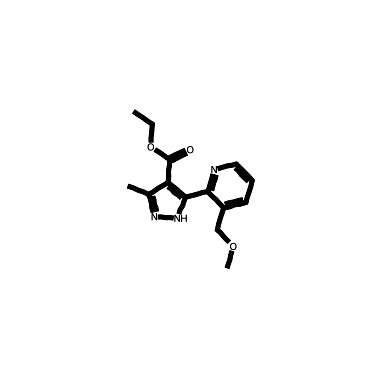 CCOC(=O)c1c(C)n[nH]c1-c1ncccc1COC